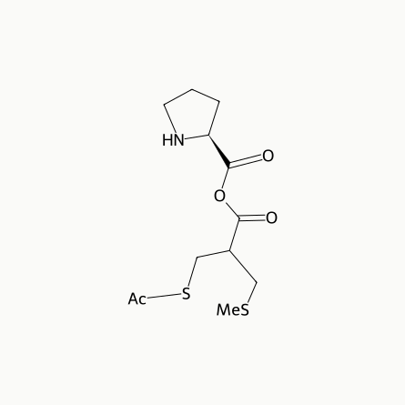 CSCC(CSC(C)=O)C(=O)OC(=O)[C@@H]1CCCN1